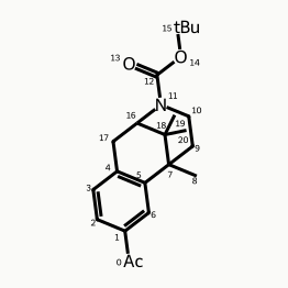 CC(=O)c1ccc2c(c1)C1(C)CCN(C(=O)OC(C)(C)C)C(C2)C1(C)C